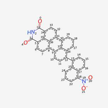 O=C1NC(=O)c2ccc3c4ccc(-c5cccc6c([N+](=O)[O-])cccc56)c5cccc(c6ccc1c2c63)c54